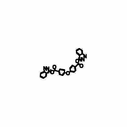 O=C(On1nnc2ccccc21)c1ccc(Oc2ccc(C(=O)On3nnc4ccccc43)cc2)cc1